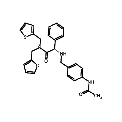 CC(=O)Nc1ccc(CN[C@H](C(=O)N(Cc2ccco2)Cc2cccs2)c2ccccc2)cc1